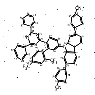 N#Cc1ccc(C2=CC3C(C=C2)c2ccc(-c4ccc(C#N)cc4)cc2N3c2ccc(-c3nc(-c4ccccc4)nc(-c4ccccc4)n3)c(-c3ccc(C(F)(F)F)cc3C(F)(F)F)c2)cc1